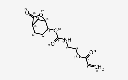 C=CC(=O)OCCNC(=O)OC1CCC2CC1OC2=O